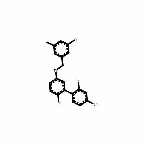 Cc1cc(Cl)cc(CNc2ccc(Cl)c(-c3ccc(C#N)cc3F)c2)c1